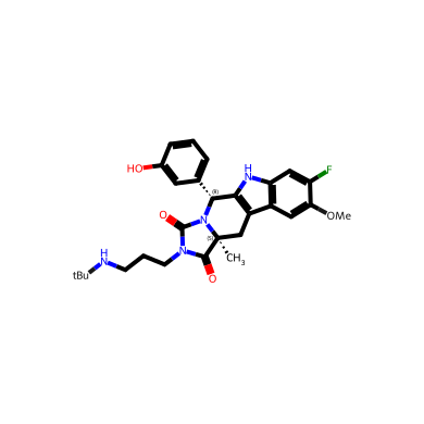 COc1cc2c3c([nH]c2cc1F)[C@@H](c1cccc(O)c1)N1C(=O)N(CCCNC(C)(C)C)C(=O)[C@]1(C)C3